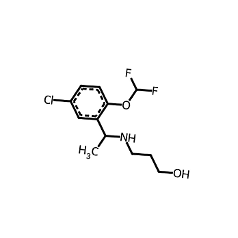 CC(NCCCO)c1cc(Cl)ccc1OC(F)F